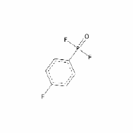 O=P(F)(F)c1ccc(F)cc1